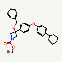 CC(C)(C)OC(=O)N1CC(OCc2ccccc2)(c2ccc(Oc3ccc(C4CCCCC4)cc3)cc2)C1